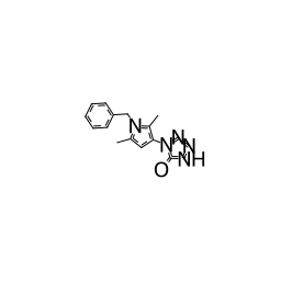 Cc1cc(-n2nn[nH]c2=O)c(C)n1Cc1ccccc1